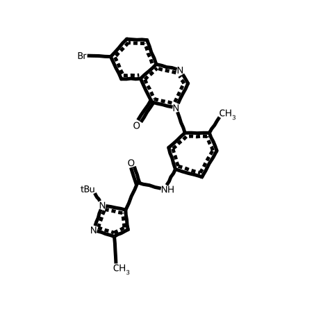 Cc1cc(C(=O)Nc2ccc(C)c(-n3cnc4ccc(Br)cc4c3=O)c2)n(C(C)(C)C)n1